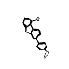 Clc1ccc(-c2ccc3c(c2)sc2cccc(Br)c23)cc1